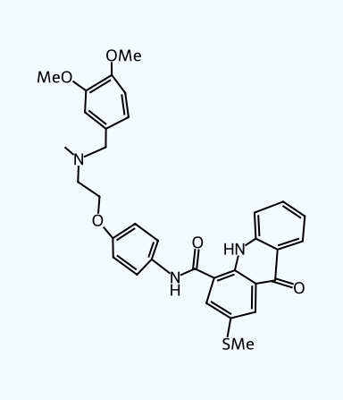 COc1ccc(CN(C)CCOc2ccc(NC(=O)c3cc(SC)cc4c(=O)c5ccccc5[nH]c34)cc2)cc1OC